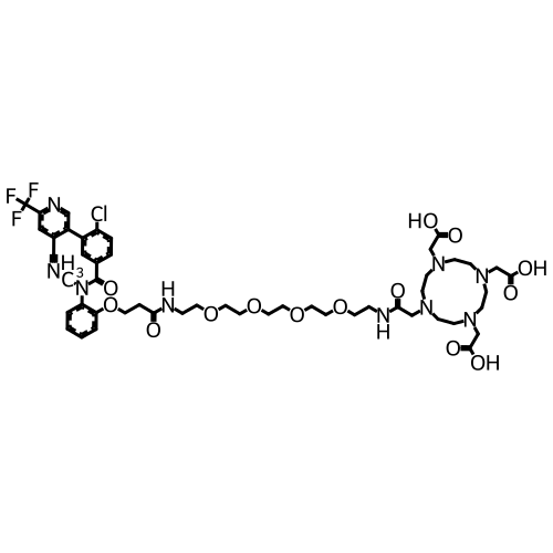 CN(C(=O)c1ccc(Cl)c(-c2cnc(C(F)(F)F)cc2C#N)c1)c1ccccc1OCCC(=O)NCCOCCOCCOCCOCCNC(=O)CN1CCN(CC(=O)O)CCN(CC(=O)O)CCN(CC(=O)O)CC1